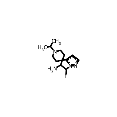 CC(C)N1CCC2(CC1)c1ccnn1C(F)C2N